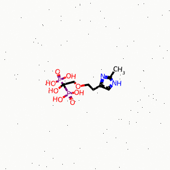 Cc1nc(CCOCC(O)(P(=O)(O)O)P(=O)(O)O)c[nH]1